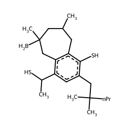 BC1(C)Cc2c(C(C)S)cc(CC(C)(C)CCC)c(S)c2CC(C)C1